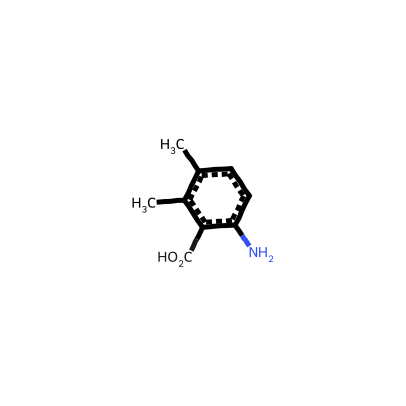 Cc1ccc(N)c(C(=O)O)c1C